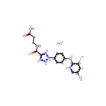 Cl.O=C(O)CCNC(=O)c1nnn(-c2ccc(Oc3ncc(Cl)cc3F)cc2)n1